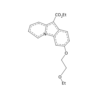 CCOCCOc1ccc2c(C(=O)OCC)c3ccccn3c2c1